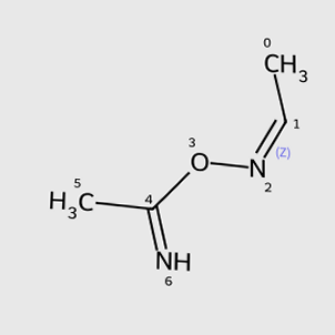 C/C=N\OC(C)=N